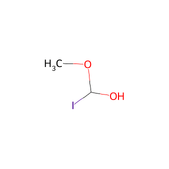 COC(O)I